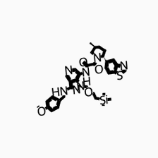 COc1ccc(CNc2nn(COCC[Si](C)(C)C)c3c(NC(=O)C(=O)N4C[C@@H](C)CC[C@@H]4c4ccc5scnc5c4)cncc23)cc1